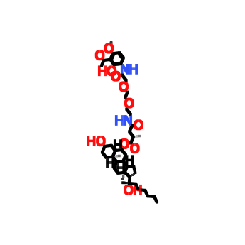 CCCCCC[C@](C)(O)[C@H]1CC[C@H]2[C@@H]3C[C@H](OC(=O)[C@@H](C)CC(=O)NCCOCCOCC(=O)Nc4ccc(OC)c(C(C)=O)c4O)[C@H]4C[C@@H](O)CC[C@]4(C)[C@H]3CC[C@@]21C